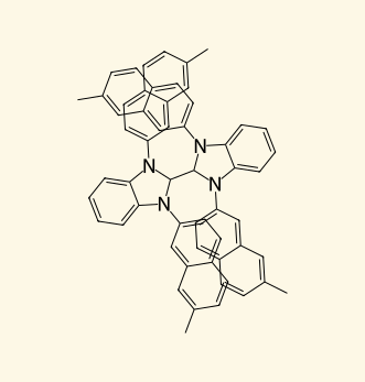 Cc1ccc2ccc(N3c4ccccc4N(c4ccc5ccc(C)cc5c4)C3C3N(c4ccc5ccc(C)cc5c4)c4ccccc4N3c3ccc4ccc(C)cc4c3)cc2c1